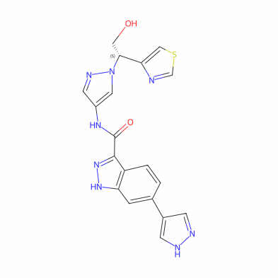 O=C(Nc1cnn([C@H](CO)c2cscn2)c1)c1n[nH]c2cc(-c3cn[nH]c3)ccc12